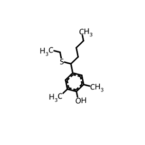 CCCCC(SCC)c1cc(C)c(O)c(C)c1